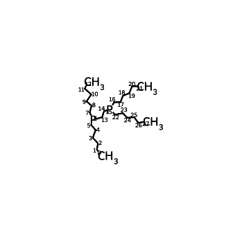 CCCCCCP(CCCCCC)CCP(CCCCCC)CCCCCC